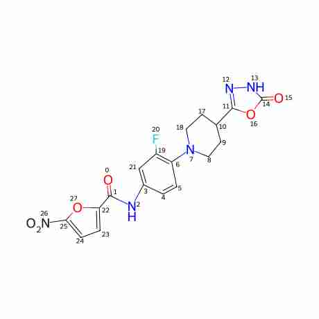 O=C(Nc1ccc(N2CCC(c3n[nH]c(=O)o3)CC2)c(F)c1)c1ccc([N+](=O)[O-])o1